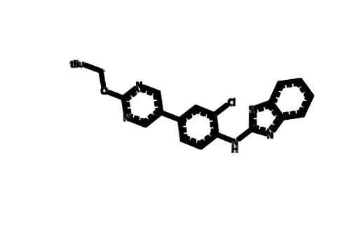 [CH2]C(C)(C)[CH]Oc1ncc(-c2ccc(Nc3nc4ccccc4s3)c(Cl)c2)cn1